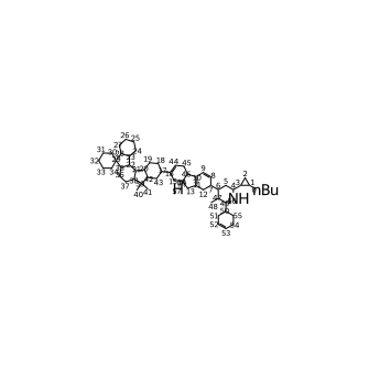 CCCCC1CC1C1CC(C2C=CC3=C(C2)C[C@H]2CC(C4CCC5C6C7C8CCCCC8C8(CCCCC8)C7CCC6C(C)(C)C5C4)=CCC32)C(C)C(C2CC=CCC2)N1